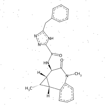 C[C@H]1[C@H]2c3ccccc3N(C)C(=O)[C@H](NC(=O)c3nnc(Cc4ccccc4)[nH]3)[C@@H]12